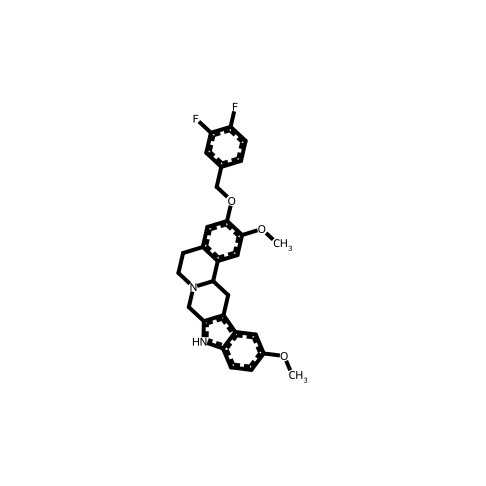 COc1ccc2[nH]c3c(c2c1)CC1c2cc(OC)c(OCc4ccc(F)c(F)c4)cc2CCN1C3